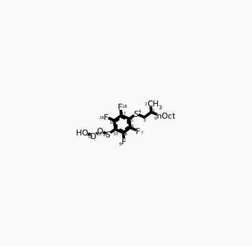 CCCCCCCCC(C)CSc1c(F)c(F)c(SOOO)c(F)c1F